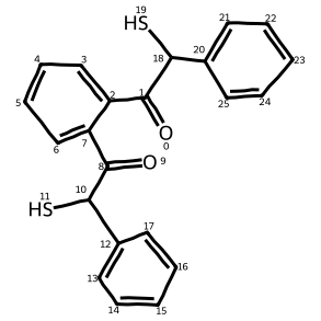 O=C(c1ccccc1C(=O)C(S)c1ccccc1)C(S)c1ccccc1